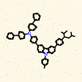 Cc1ccc(-n2c3ccc(-c4ccc(C(CC(C)C)C(C)C)cc4)cc3c3cc(-c4ccc(N(c5ccc(-c6ccccc6)cc5)c5ccc(-c6ccccc6)cc5)cc4)ccc32)cc1